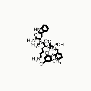 Cc1cc(Cl)cc(Cl)c1Sc1ncccc1CN[C@@H](CO)C(=O)N[C@@H](CCCCN)C(=O)N(C)[C@@H](Cc1c[nH]c2ccccc12)C(N)=O